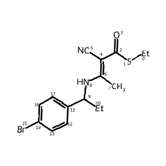 CCSC(=O)/C(C#N)=C(\C)NC(CC)c1ccc(Br)cc1